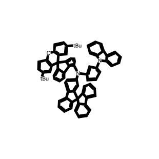 CC(C)(C)c1ccc2c(c1)C1(c3cc(C(C)(C)C)ccc3O2)c2ccccc2-c2c(N(c3cccc(-n4c5ccccc5c5ccccc54)c3)c3ccc4c(c3)C3(c5ccccc5-c5ccccc53)c3ccccc3-4)cccc21